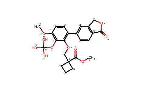 COC(=O)C1(COc2c(-c3ccc4c(c3)COC4=O)ccc(OC)c2OC(O)(O)O)CCC1